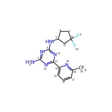 Nc1nc(NC2CCC(F)(F)C2)nc(-c2cccc(C(F)(F)F)n2)n1